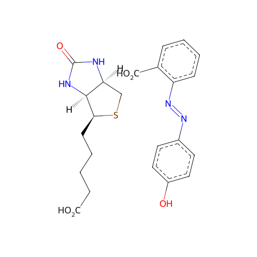 O=C(O)CCCC[C@@H]1SC[C@@H]2NC(=O)N[C@@H]21.O=C(O)c1ccccc1N=Nc1ccc(O)cc1